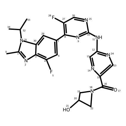 Cc1nc2c(F)cc(-c3nc(Nc4cnc(C(=O)N5CC(O)C5)cn4)ncc3F)cc2n1C(C)C